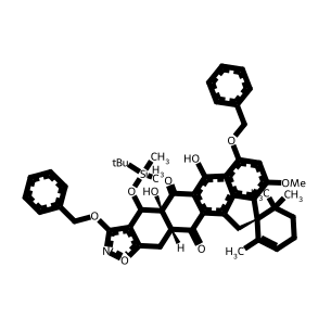 COc1cc(OCc2ccccc2)c2c(O)c3c(c4c2c1[C@@]1(C4)C(C)=CCCC1(C)C)C(=O)[C@@H]1Cc2onc(OCc4ccccc4)c2C(O[Si](C)(C)C(C)(C)C)[C@]1(O)C3=O